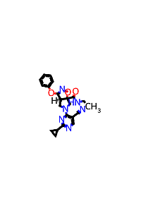 CCNC(=O)C12CN(c3nc(C4CC4)ncc3C#N)C[C@H]1C(Oc1ccccc1)=NO2